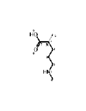 CNCCC[C@@H](C)C(=O)O